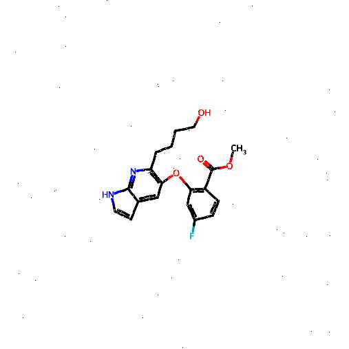 COC(=O)c1ccc(F)cc1Oc1cc2cc[nH]c2nc1CCCCO